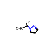 CC(C)C(C=O)n1cccn1